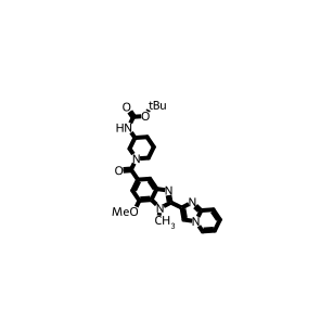 COc1cc(C(=O)N2CCCC(NC(=O)OC(C)(C)C)C2)cc2nc(-c3cn4ccccc4n3)n(C)c12